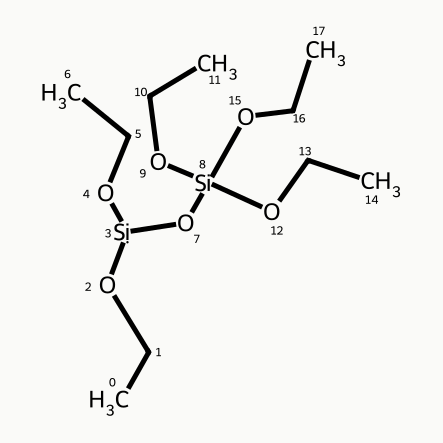 CCO[Si](OCC)O[Si](OCC)(OCC)OCC